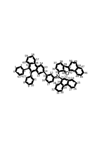 c1ccc(-c2c(-c3ccccc3)c3cc(-c4cccc(N(c5cc6ccccc6c6ccccc56)c5cccc6c5oc5c7ccccc7ccc65)c4)ccc3c3ccccc23)cc1